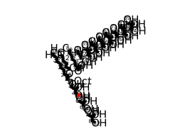 CCCCCC(=O)O.CCCCCCCC(=O)O.CCCCCCCCC=CCCCCCCCC(=O)O.OCC(O)CO.OCC(O)CO.OCC(O)CO.OCC(O)CO.OCC(O)CO.OCC(O)CO.OCC(O)CO.OCC(O)CO.OCC(O)CO.OCC(O)CO.OCC(O)CO